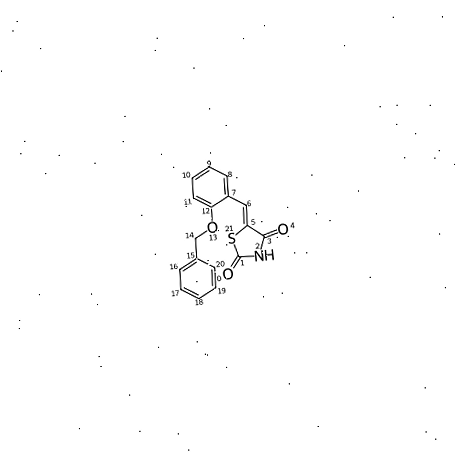 O=C1NC(=O)C(=Cc2ccccc2OCc2ccccc2)S1